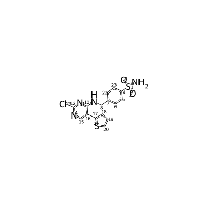 NS(=O)(=O)c1ccc(CNc2nc(Cl)ncc2-c2cccs2)cc1